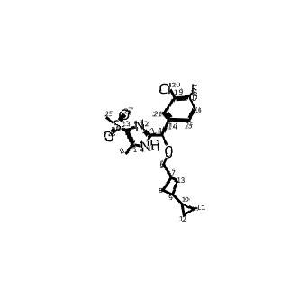 Cc1[nH]c(C(OCC2CC(C3CC3)C2)c2ccc(F)c(Cl)c2)nc1S(C)(=O)=O